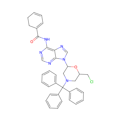 O=C(Nc1ncnc2c1ncn2C1CN(C(c2ccccc2)(c2ccccc2)c2ccccc2)CC(CCl)O1)C1=CC=CCC1